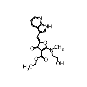 CCOC(=O)C1=C(N(C)CCO)O/C(=C\c2c[nH]c3ncccc23)C1=O